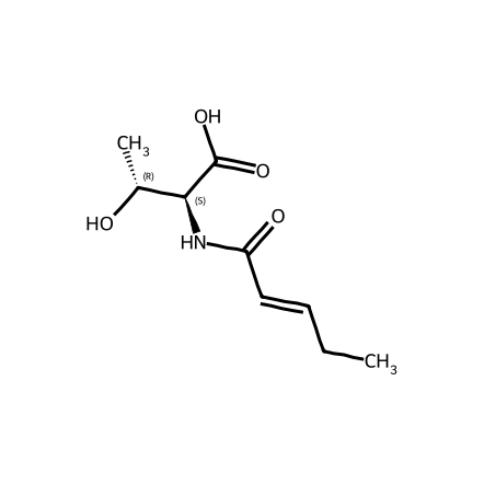 CCC=CC(=O)N[C@H](C(=O)O)[C@@H](C)O